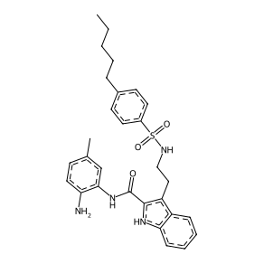 CCCCCc1ccc(S(=O)(=O)NCCc2c(C(=O)Nc3cc(C)ccc3N)[nH]c3ccccc23)cc1